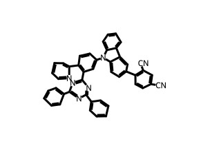 N#Cc1ccc(-c2ccc3c(c2)c2ccccc2n3-c2ccc(-c3ccccn3)c(-c3nc(-c4ccccc4)nc(-c4ccccc4)n3)c2)c(C#N)c1